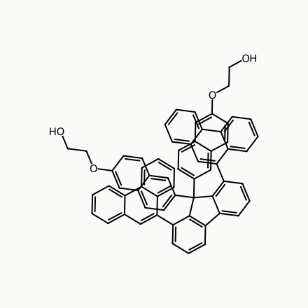 OCCOc1ccc2cc(C3(c4ccc5cc(OCCO)ccc5c4)c4c(cccc4-c4cc5ccccc5c5ccccc45)-c4cccc(-c5cc6ccccc6c6ccccc56)c43)ccc2c1